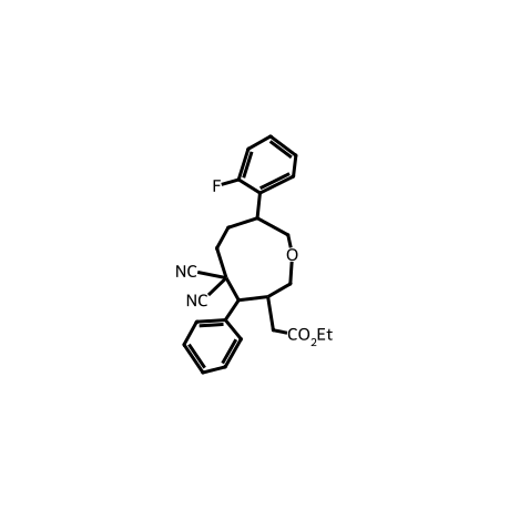 CCOC(=O)CC1COCC(c2ccccc2F)CCC(C#N)(C#N)C1c1ccccc1